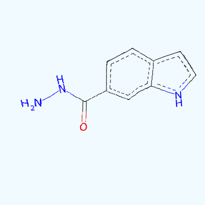 NNC(=O)c1ccc2cc[nH]c2c1